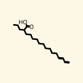 C=CC=CCCCCCCCCCCC(CCC)C(=O)O